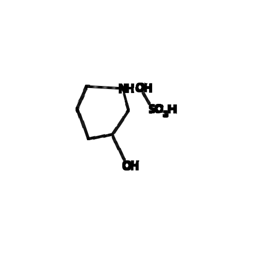 O=S(=O)(O)O.OC1CCCNC1